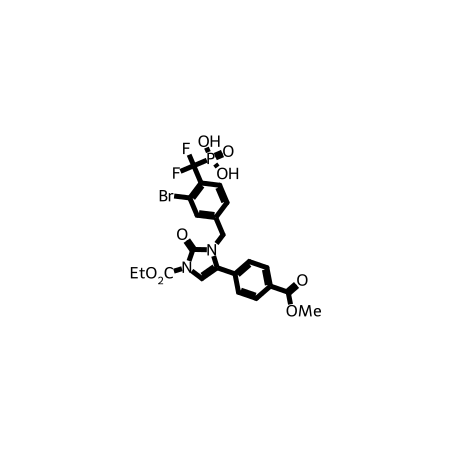 CCOC(=O)n1cc(-c2ccc(C(=O)OC)cc2)n(Cc2ccc(C(F)(F)P(=O)(O)O)c(Br)c2)c1=O